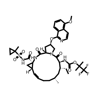 CC[C@@H]1C[C@H](C)CC/C=C\[C@@H]2C[C@@]2(C(=O)NS(=O)(=O)C2(C)CC2)NC(=O)[C@@H]2C[C@@H](Oc3nccc4c(OC)cccc34)CN2C(=O)[C@H]1NC(=O)OC(C)(C)C(F)(F)F